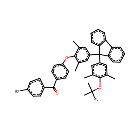 CCC(C)(C)Oc1c(C)cc(C2(c3cc(C)c(Oc4ccc(C(=O)c5ccc(C(C)(C)C)cc5)cc4)c(C)c3)c3ccccc3-c3ccccc32)cc1C